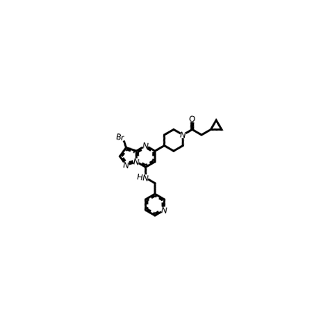 O=C(CC1CC1)N1CCC(c2cc(NCc3cccnc3)n3ncc(Br)c3n2)CC1